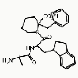 CCOC(=O)[C@]1(Cc2ccccc2)CCCCN1C(=O)C(CC1CCc2ccccc21)NC(=O)C(C)(C)N